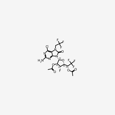 CC(=O)O[C@@H]1[C@@H](F)[C@@H]([C@@H](OC(C)=O)C(F)(F)F)O[C@H]1n1c(=O)n(CC(F)(F)F)c2c(Cl)nc(N)nc21